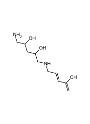 C=C(O)/C=C/CNCC(O)CC(O)CN